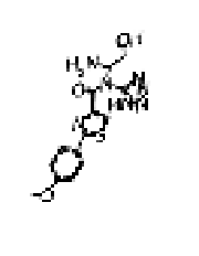 COc1ccc(-c2nc(C(=O)N(c3nnn[nH]3)C(N)CO)cs2)cc1